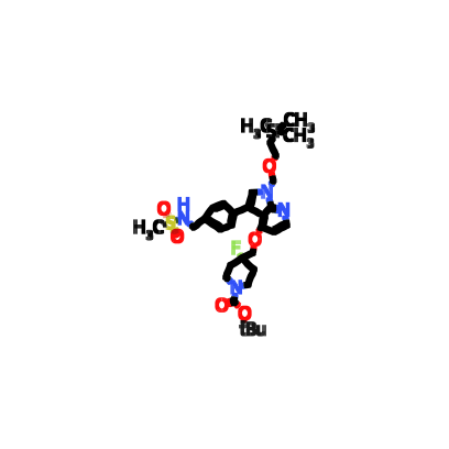 CC(C)(C)OC(=O)N1CCC(F)(COc2ccnc3c2c(-c2ccc(CNS(C)(=O)=O)cc2)cn3COCC[Si](C)(C)C)CC1